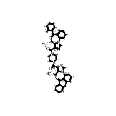 C[C@@H]1N=C(c2ccccc2F)c2ccccc2-n2cnc(C(=O)N3CCN(C(=O)c4ncn5c4[C@H](C)N=C(c4ccccc4F)c4ccccc4-5)CC3)c21